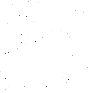 COc1cc2c(cc1Br)C(CBr)OCCC2